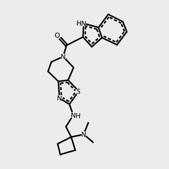 CN(C)C1(CNc2nc3c(s2)CN(C(=O)c2cc4ccccc4[nH]2)CC3)CCC1